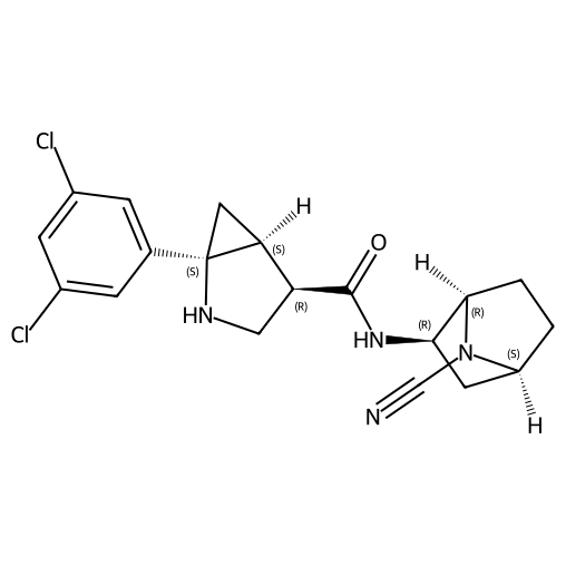 N#CN1[C@H]2CC[C@@H]1[C@H](NC(=O)[C@H]1CN[C@@]3(c4cc(Cl)cc(Cl)c4)C[C@@H]13)C2